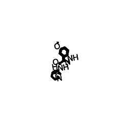 COc1ccc2[nH]nc(C(=O)N[C@@H]3CN4CCC3CC4)c2c1